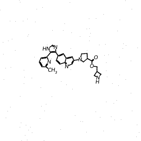 Cc1cccc(-c2[nH]cnc2-c2ccc3ncc(N4CCC(C(=O)OCC5CNC5)C4)cc3c2)n1